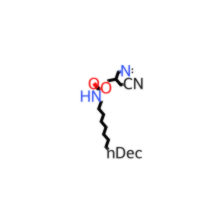 CCCCCCCCCCCCCCCCCCNC(=O)OCC(C[N])CC#N